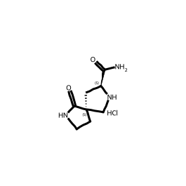 Cl.NC(=O)[C@@H]1C[C@@]2(CCNC2=O)CN1